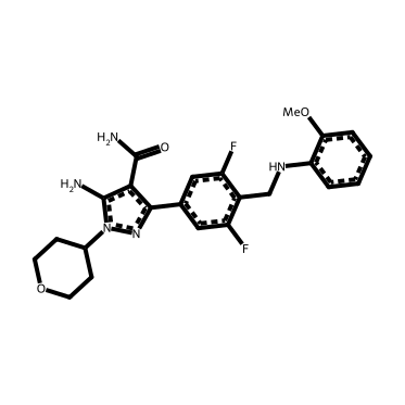 COc1ccccc1NCc1c(F)cc(-c2nn(C3CCOCC3)c(N)c2C(N)=O)cc1F